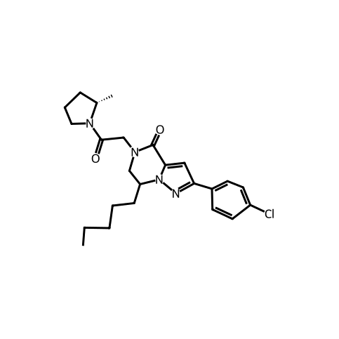 CCCCCC1CN(CC(=O)N2CCC[C@@H]2C)C(=O)c2cc(-c3ccc(Cl)cc3)nn21